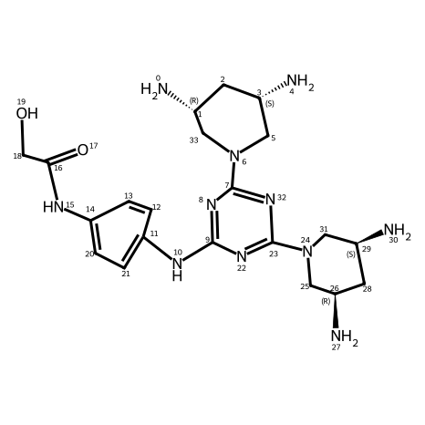 N[C@@H]1C[C@H](N)CN(c2nc(Nc3ccc(NC(=O)CO)cc3)nc(N3C[C@H](N)C[C@H](N)C3)n2)C1